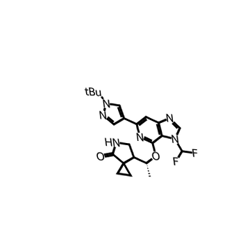 C[C@@H](Oc1nc(-c2cnn(C(C)(C)C)c2)cc2ncn(C(F)F)c12)C1CNC(=O)C12CC2